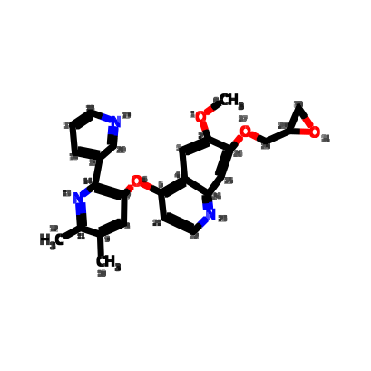 COc1cc2c(Oc3cc(C)c(C)nc3-c3cccnc3)ccnc2cc1OCC1CO1